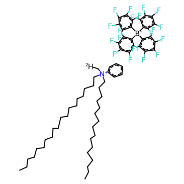 Fc1c(F)c(F)c([B-](c2c(F)c(F)c(F)c(F)c2F)(c2c(F)c(F)c(F)c(F)c2F)c2c(F)c(F)c(F)c(F)c2F)c(F)c1F.[2H]C[N+](CCCCCCCCCCCCCCCC)(CCCCCCCCCCCCCCCCCCC)c1ccccc1